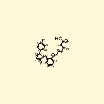 Cc1ccc(-c2ncc(C)n2Cc2ccccc2OCCC[C@@H](C)CC(=O)O)cc1